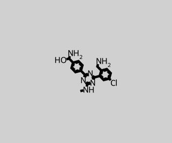 CNc1nc(-c2ccc(C(N)O)cc2)nc(-c2cc(Cl)ccc2CN)n1